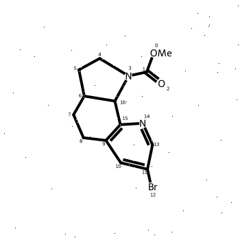 COC(=O)N1CCC2CCc3cc(Br)cnc3C21